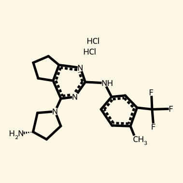 Cc1ccc(Nc2nc3c(c(N4CC[C@H](N)C4)n2)CCC3)cc1C(F)(F)F.Cl.Cl